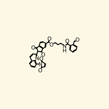 O=Cc1ccccc1C(=O)NCCCOC(=O)c1ccc2c(c1)C(=O)C(c1ccc3cccc(N4C(=O)C=CC4=O)c3n1)C2=O